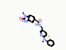 CN(c1ccc(CNC(=O)c2ccc3c(c2)[nH]c(=O)n3C)cn1)c1ccccc1F